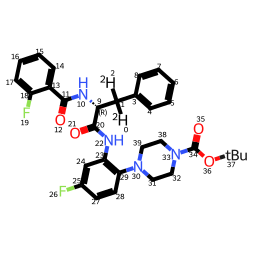 [2H]C([2H])(c1ccccc1)[C@@H](NC(=O)c1ccccc1F)C(=O)Nc1cc(F)ccc1N1CCN(C(=O)OC(C)(C)C)CC1